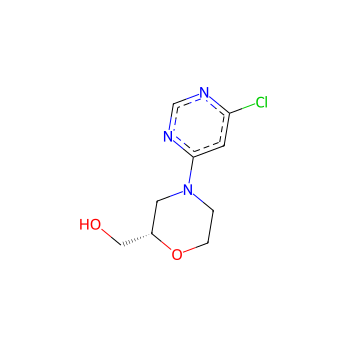 OC[C@@H]1CN(c2cc(Cl)ncn2)CCO1